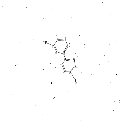 Fc1cccc(-c2ccc(I)cc2)c1